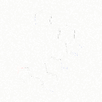 C1=C(c2n[nH]c3ccc(-c4cccnc4)cc23)Nc2cncc(-c3ccoc3)c2C1